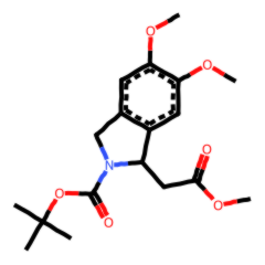 COC(=O)CC1c2cc(OC)c(OC)cc2CN1C(=O)OC(C)(C)C